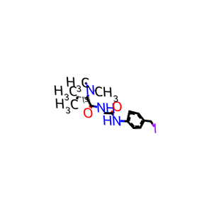 CC(C)[C@@H](C(=O)NCC(=O)Nc1ccc(CI)cc1)N(C)C